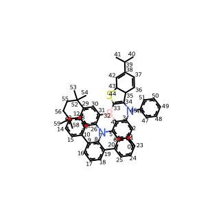 Cc1cc2c3c(c1)N(c1c(-c4ccccc4)cccc1-c1ccccc1)c1cc4c(cc1B3C1=C(C3C=CC(C(C)C)=CC3S1)N2c1ccccc1)C(C)(C)CCC4(C)C